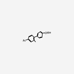 COc1ccc(-c2ccc(C(C)=O)cc2C)cc1